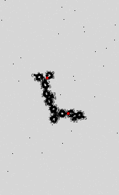 Cc1ccc(N(c2ccccc2)c2ccc(-c3ccc4c(c3)C(C)(C)c3cc(-c5ccc(N(c6ccccc6)c6ccc(-c7ccc8c(c7)C(C)(C)c7cc(C)ccc7-8)cc6)cc5)ccc3-4)cc2)cc1